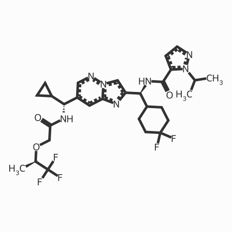 CC(C)n1nccc1C(=O)N[C@H](c1cn2ncc([C@H](NC(=O)CO[C@H](C)C(F)(F)F)C3CC3)cc2n1)C1CCC(F)(F)CC1